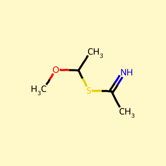 COC(C)SC(C)=N